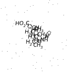 C=C(C)[C@@H]1CC[C@]2(NCCN3CC4CCC(C4)C3)CC[C@]3(C)[C@H](CC[C@@H]4[C@@]5(C)CC=C(c6ccc(C(=O)O)cc6)C(C)(C)[C@@H]5CC[C@]43C)[C@@H]12